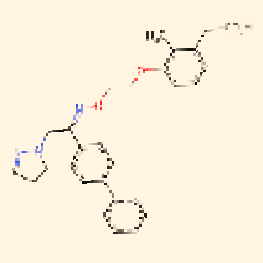 Cc1c(CC(=O)O)cccc1OCCON=C(CN1CCC=N1)c1ccc(-c2ccccc2)cc1